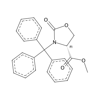 COC(=O)[C@H]1COC(=O)N1C(c1ccccc1)(c1ccccc1)c1ccccc1